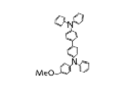 COCc1ccc(N(c2ccccc2)c2ccc(-c3ccc(N(c4ccccc4)c4ccccc4)cc3)cc2)cc1